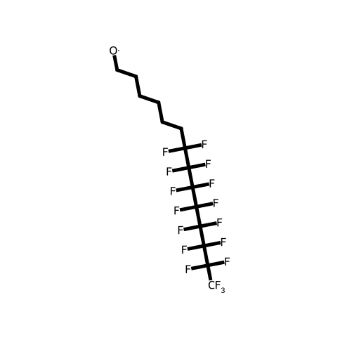 [O]CCCCCCC(F)(F)C(F)(F)C(F)(F)C(F)(F)C(F)(F)C(F)(F)C(F)(F)C(F)(F)F